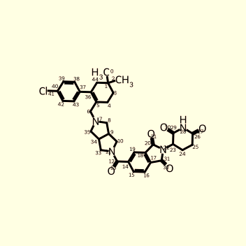 CC1(C)CCC(CN2CC3CN(C(=O)c4ccc5c(c4)C(=O)N(C4CCC(=O)NC4=O)C5=O)CC3C2)=C(c2ccc(Cl)cc2)C1